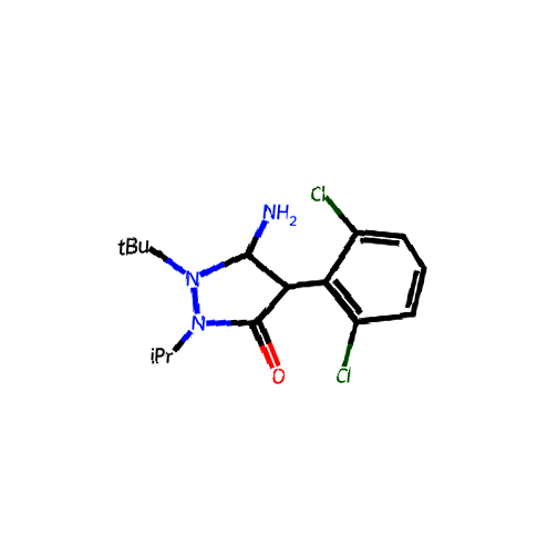 CC(C)N1C(=O)C(c2c(Cl)cccc2Cl)C(N)N1C(C)(C)C